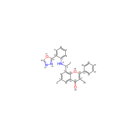 Cc1cc(C(C)Nc2ccccc2-c2nnco2)c2oc(-c3ccccc3)c(C)c(=O)c2c1